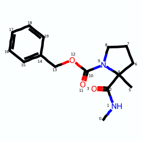 CNC(=O)C1(C)CCCN1C(=O)OCc1ccccc1